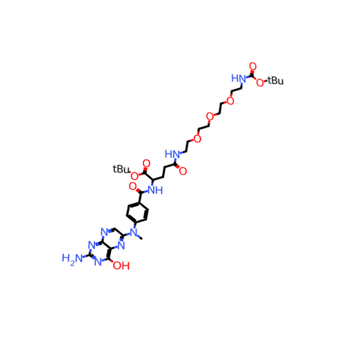 CN(c1ccc(C(=O)NC(CCC(=O)NCCOCCOCCOCCNC(=O)OC(C)(C)C)C(=O)OC(C)(C)C)cc1)c1cnc2nc(N)nc(O)c2n1